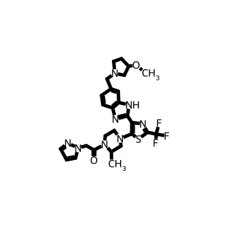 COC1CCN(Cc2ccc3nc(-c4nc(C(F)(F)F)sc4N4CCN(C(=O)Cn5cccn5)C(C)C4)[nH]c3c2)C1